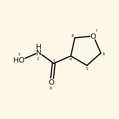 O=C(NO)C1CCOC1